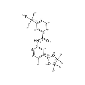 Cc1cnc(NC(=O)c2cccc(C(F)(F)F)c2)cc1B1OC(C)(C)C(C)(C)O1